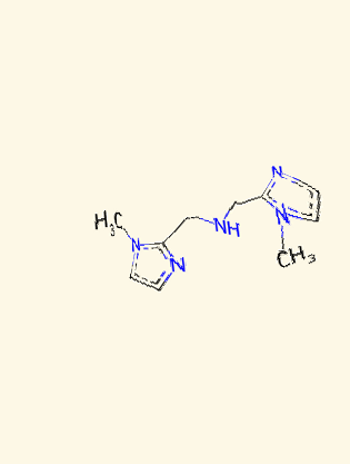 Cn1ccnc1CNCc1nccn1C